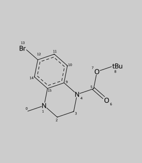 CN1CCN(C(=O)OC(C)(C)C)c2ccc(Br)cc21